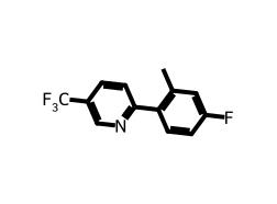 Cc1cc(F)ccc1-c1ccc(C(F)(F)F)cn1